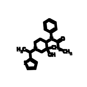 CCC(=O)N(c1ccccc1)C1CCN(C(C)c2cccs2)CC1(C)O